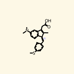 CSc1ccc(/C=C2/C(C)=C(CC(=O)O)c3cc(N(C)C)ccc32)cc1